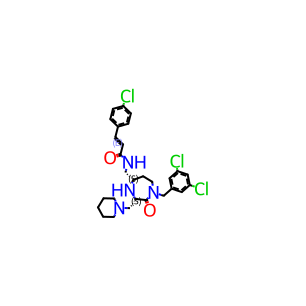 O=C(/C=C/c1ccc(Cl)cc1)NC[C@@H]1CCN(Cc2cc(Cl)cc(Cl)c2)C(=O)[C@H](CN2CCCCC2)N1